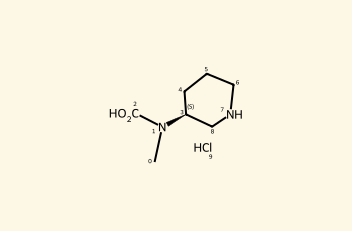 CN(C(=O)O)[C@H]1CCCNC1.Cl